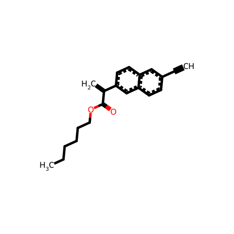 C#Cc1ccc2cc(C(=C)C(=O)OCCCCCC)ccc2c1